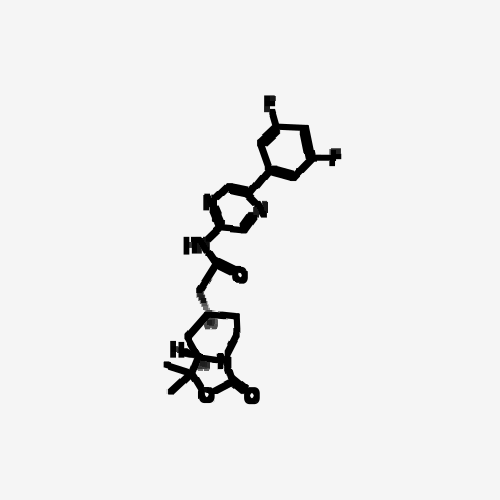 CC1(C)OC(=O)N2CC[C@@H](CC(=O)Nc3cnc(-c4cc(F)cc(F)c4)cn3)C[C@H]21